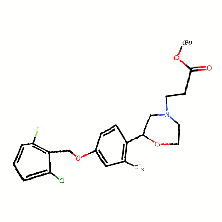 CC(C)(C)OC(=O)CCN1CCOC(c2ccc(OCc3c(F)cccc3Cl)cc2C(F)(F)F)C1